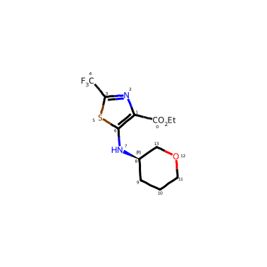 CCOC(=O)c1nc(C(F)(F)F)sc1N[C@@H]1CCCOC1